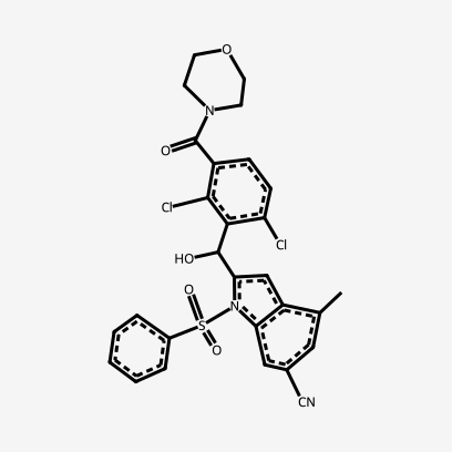 Cc1cc(C#N)cc2c1cc(C(O)c1c(Cl)ccc(C(=O)N3CCOCC3)c1Cl)n2S(=O)(=O)c1ccccc1